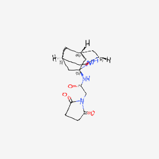 O=C(CN1C(=O)CCC1=O)N[C@@]12C[C@@H]3C[C@@H](C[C@H](C3)N1)C2